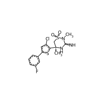 CN1C(=N)N[C@](C)(c2sc(-c3cccc(F)c3)cc2Cl)CS1(=O)=O